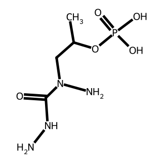 CC(CN(N)C(=O)NN)OP(=O)(O)O